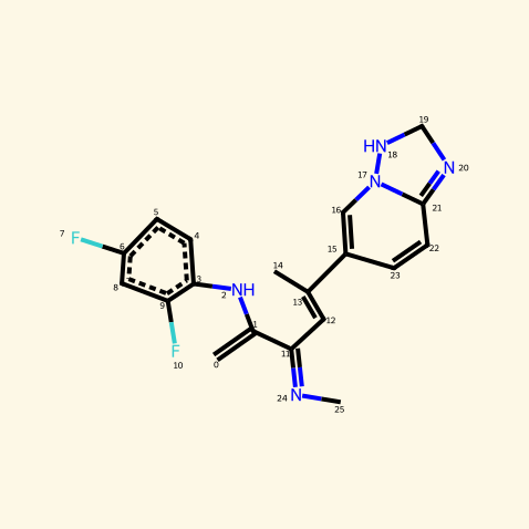 C=C(Nc1ccc(F)cc1F)C(/C=C(\C)C1=CN2NCN=C2C=C1)=N/C